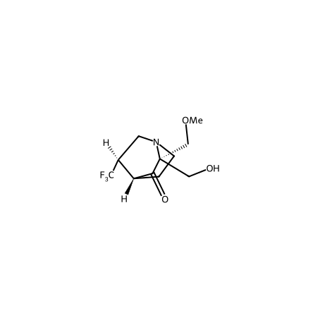 COC[C@]1(CO)C(=O)[C@@H]2CCN1C[C@@H]2C(F)(F)F